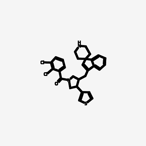 O=C(c1cccc(Cl)c1Cl)N1CC(CC2=CC3(CCNCC3)c3ccccc32)C(c2ccsc2)C1